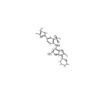 Cc1nc(-c2ccc(Nc3cc(Cl)nc4c3nc(C)n4C3CCCCO3)c(S(C)(=O)=O)c2)sc1C